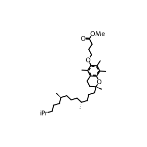 COC(=O)CCCOc1c(C)c(C)c2c(c1C)CC[C@@](C)(CCC[C@H](C)CCC[C@H](C)CCCC(C)C)O2